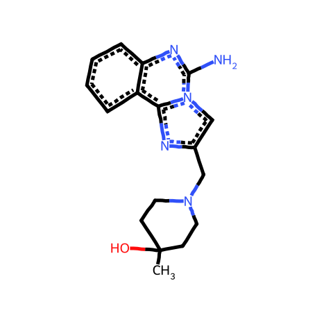 CC1(O)CCN(Cc2cn3c(N)nc4ccccc4c3n2)CC1